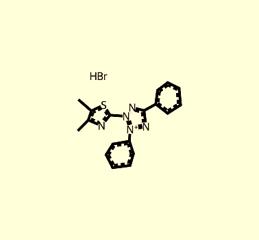 Br.Cc1nc(-n2nc(-c3ccccc3)n[n+]2-c2ccccc2)sc1C